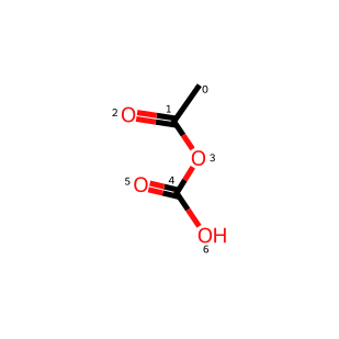 CC(=O)OC(=O)O